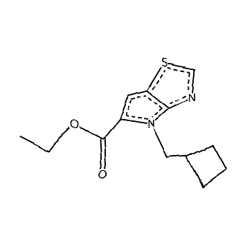 CCOC(=O)c1cc2scnc2n1CC1CCC1